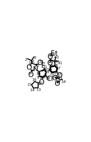 CC(C)=C1OC(=O)N(c2cc(OC3CCCC3)c(Cl)cc2F)C1=O.CCOC1Oc2ccc(OS(C)(=O)=O)cc2C1(C)C